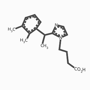 Cc1cccc(C(C)c2nccn2CCCC(=O)O)c1C